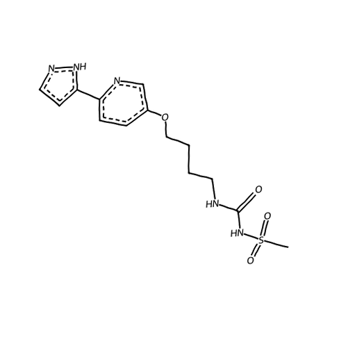 CS(=O)(=O)NC(=O)NCCCCOc1ccc(-c2ccn[nH]2)nc1